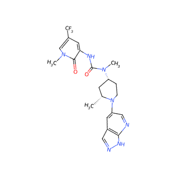 C[C@@H]1C[C@H](N(C)C(=O)Nc2cc(C(F)(F)F)cn(C)c2=O)CCN1c1cnc2[nH]ncc2c1